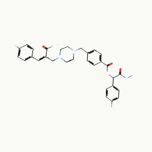 COC(=O)/C(=C\c1ccc(F)cc1)CN1CCN(Cc2ccc(C(=O)OC(C(=O)NC(C)(C)C)c3ccc(C#N)cc3)cc2)CC1